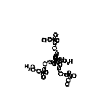 O.O=C(COCC1CCCC(COC(=O)N(c2ccccc2)c2ccc(Cl)cc2)C1)NC(CS(=O)(=O)O)(NC(=O)COCC1CCCC(COC(=O)N(c2ccccc2)c2ccc(Cl)cc2)C1)NC(=O)COCC1CCCC(COC(=O)N(c2ccccc2)c2ccc(Cl)cc2)C1